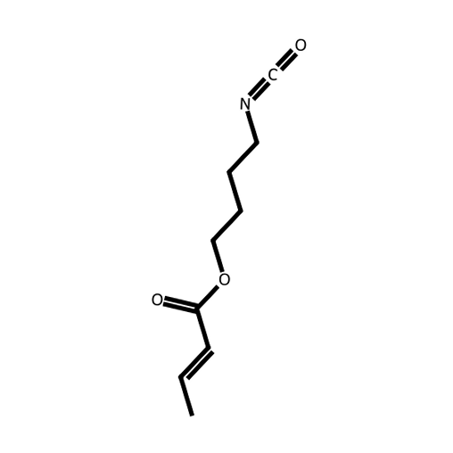 CC=CC(=O)OCCCCN=C=O